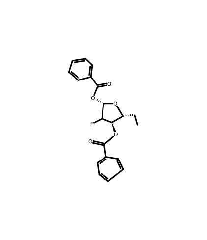 CC[C@H]1O[C@@H](OC(=O)c2ccccc2)C(F)[C@@H]1OC(=O)c1ccccc1